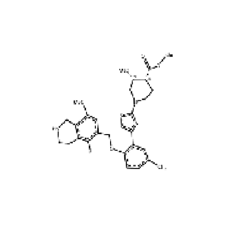 COc1cc(COc2ccc(C)cc2-c2csc(N3CC[C@@H](C(=O)OC(C)(C)C)[C@@H](OC)C3)n2)c(F)c2c1CNCC2